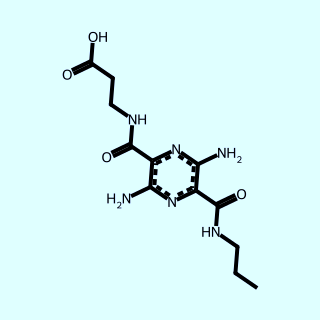 CCCNC(=O)c1nc(N)c(C(=O)NCCC(=O)O)nc1N